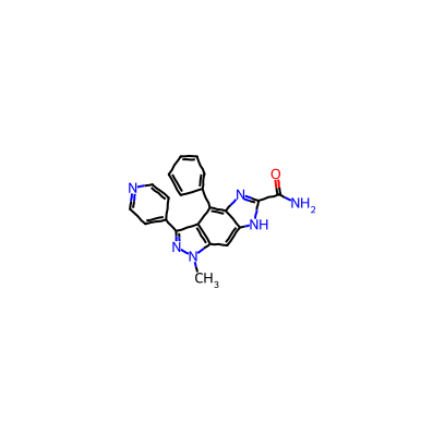 Cn1nc(-c2ccncc2)c2c(-c3ccccc3)c3nc(C(N)=O)[nH]c3cc21